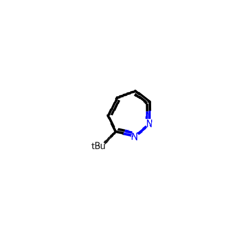 CC(C)(C)C1=NN=C=CC=C1